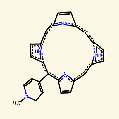 CN1C=CC(c2c3nc(cc4ccc(cc5nc(cc6ccc2[nH]6)C=C5)[nH]4)C=C3)=CC1